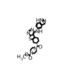 COC(=O)N1CCN(C(=O)[C@H]2CCc3c(sc4ncnc(Nc5ccc6[nH]ncc6c5)c34)C2)CC1